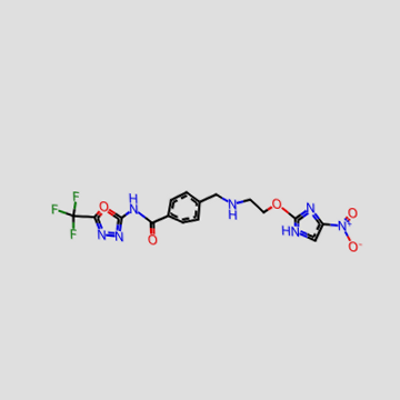 O=C(Nc1nnc(C(F)(F)F)o1)c1ccc(CNCCOc2nc([N+](=O)[O-])c[nH]2)cc1